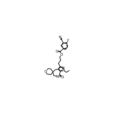 CCn1nc(CCCOC(=O)c2ccc(F)c(C#N)c2)c2c1C(=O)NCC1(CCOCC1)C2